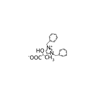 CC(O)C(=O)[O-].c1ccc(Cn2cc[n+](Cc3ccccc3)c2)cc1